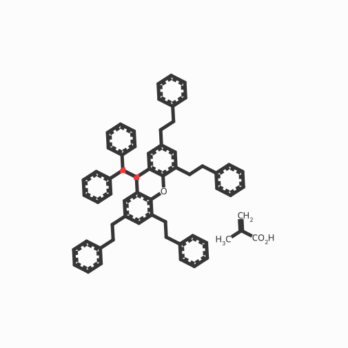 C=C(C)C(=O)O.c1ccc(CCc2cc(CCc3ccccc3)c(Oc3c(CCc4ccccc4)cc(CCc4ccccc4)cc3CCc3ccccc3)c(CCc3ccccc3)c2)cc1